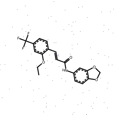 CCOc1cc(C(F)(F)F)ccc1/C=C/C(=O)Nc1ccc2c(c1)OCO2